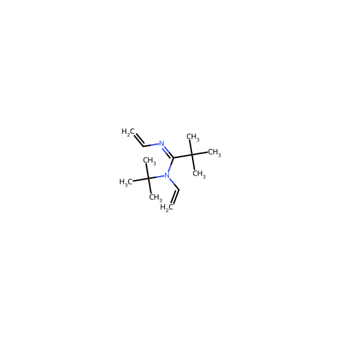 C=C/N=C(\N(C=C)C(C)(C)C)C(C)(C)C